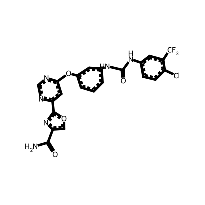 NC(=O)c1coc(-c2cc(Oc3cccc(NC(=O)Nc4ccc(Cl)c(C(F)(F)F)c4)c3)ncn2)n1